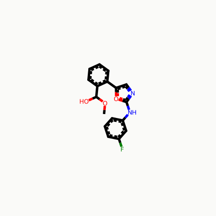 COC(O)c1ccccc1-c1cnc(Nc2cccc(F)c2)o1